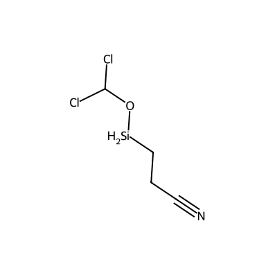 N#CCC[SiH2]OC(Cl)Cl